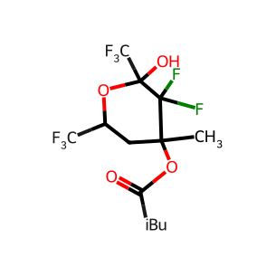 CCC(C)C(=O)OC1(C)CC(C(F)(F)F)OC(O)(C(F)(F)F)C1(F)F